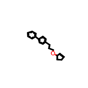 C1=CC(OCCCc2ccc(-c3ccccc3)cc2)CC1